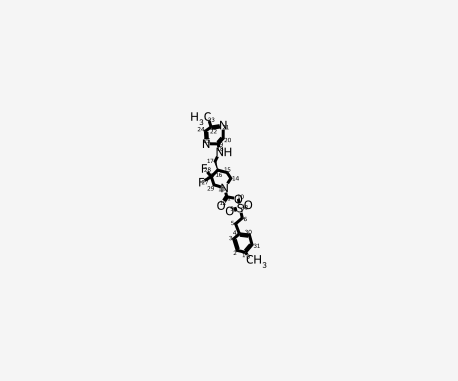 Cc1ccc(CCS(=O)(=O)OC(=O)N2CC[C@H](CNc3cnc(C)cn3)C(F)(F)C2)cc1